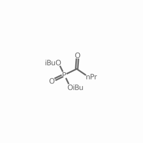 CCCC(=O)P(=O)(OCC(C)C)OCC(C)C